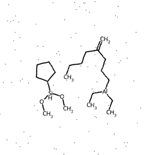 C=C(CCCC)CC[CH2][Al]([CH2]C)[CH2]C.CO[SiH](OC)C1CCCC1